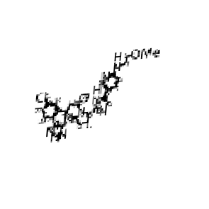 COCCNc1ccc(-c2cnc([C@@H]3CCc4nc(-c5cc(Cl)ccc5-n5cnnn5)cc(=O)n43)[nH]2)cn1